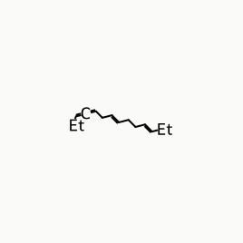 CCC=C=CCC=CCCC=CCC